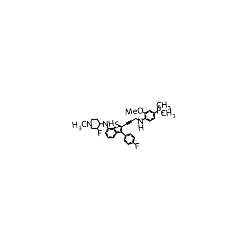 COc1cc(P(C)C)ccc1NCC#Cc1sc2c(NC3CCN(C)CC3F)cccc2c1-c1ccc(F)cc1